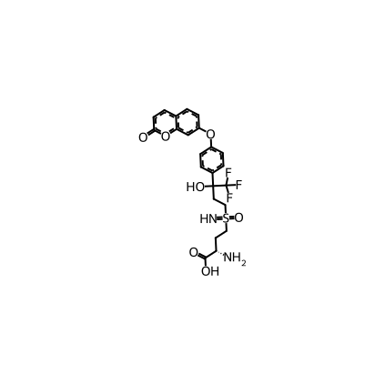 N=S(=O)(CC[C@H](N)C(=O)O)CCC(O)(c1ccc(Oc2ccc3ccc(=O)oc3c2)cc1)C(F)(F)F